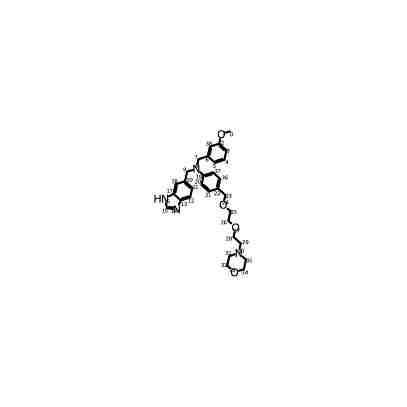 COc1cccc(CN(Cc2ccc3nc[nH]c3c2)c2ccc(COCCOCCN3CCOCC3)cc2)c1